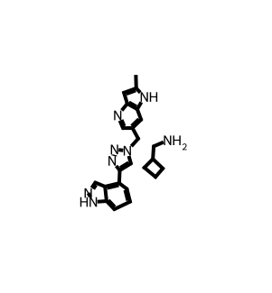 Cc1cc2ncc(Cn3cc(-c4cccc5[nH]ncc45)nn3)cc2[nH]1.NCC1CCC1